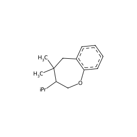 CC(C)C1COc2ccccc2CC1(C)C